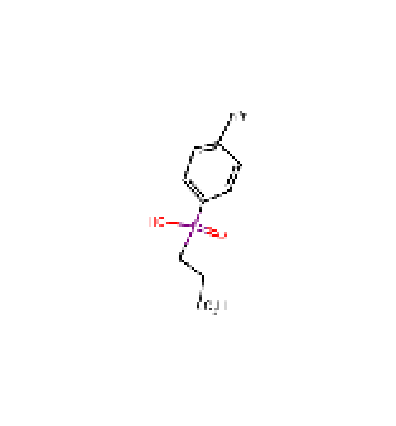 CCCc1ccc(P(=O)(O)CCC(=O)O)cc1